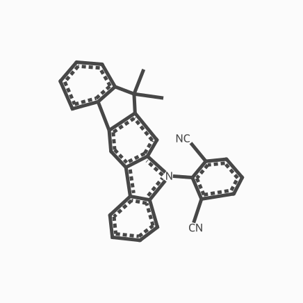 CC1(C)c2ccccc2-c2cc3c4ccccc4n(-c4c(C#N)cccc4C#N)c3cc21